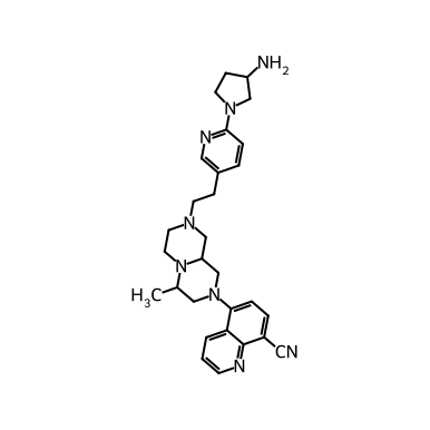 CC1CN(c2ccc(C#N)c3ncccc23)CC2CN(CCc3ccc(N4CCC(N)C4)nc3)CCN12